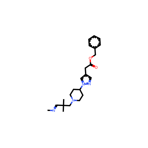 C/N=C/C(C)(C)CN1CCC(n2cc(CC(=O)OCc3ccccc3)cn2)CC1